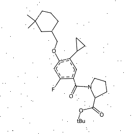 CC1(C)CCCC(COc2cc(F)c(C(=O)N3CCCC3C(=O)OC(C)(C)C)cc2C2CC2)C1